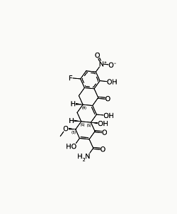 CO[C@@H]1C(O)=C(C(N)=O)C(=O)[C@@]2(O)C(O)=C3C(=O)c4c(O)c([N+](=O)[O-])cc(F)c4C[C@H]3C[C@@H]12